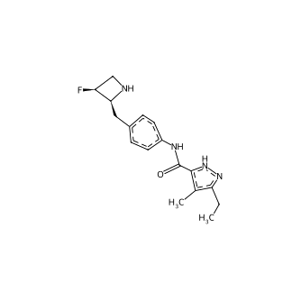 CCc1n[nH]c(C(=O)Nc2ccc(C[C@@H]3NC[C@@H]3F)cc2)c1C